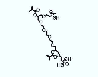 C=C(C)C(=O)OC(COCCOCCOCCOCC(COCCP(=O)(O)O)OC(=O)C(=C)C)COCCP(C)(=O)O